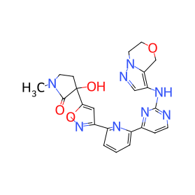 CN1CCC(O)(c2cc(-c3cccc(-c4ccnc(Nc5cnn6c5COCC6)n4)n3)no2)C1=O